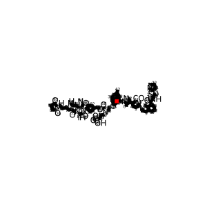 Cc1c(-c2ccc(N3CCc4cccc(C(=O)Nc5nc6cccnc6s5)c4C3)nc2C(=O)O)cnn1CC12CC3(C)CC(C)(C1)CC(OCCN(CCCP(=O)(O)O)C(=O)OCc1ccc(N(C(=O)[C@@H](NC(=O)CCCCCN4C(=O)C=CC4=O)C(C)C)[C@@H](CCCN)C(N)=O)cc1)(C3)C2